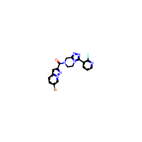 O=C(c1cc2ccc(Br)cn2n1)N1CCn2c(nnc2-c2cccnc2F)C1